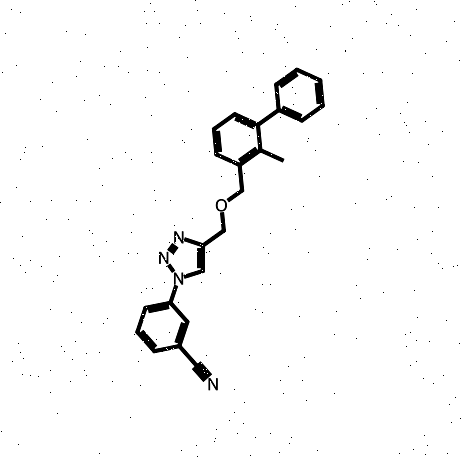 Cc1c(COCc2cn(-c3cccc(C#N)c3)nn2)cccc1-c1ccccc1